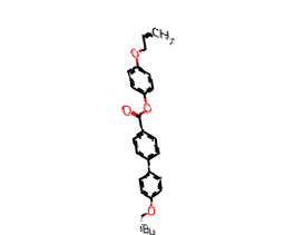 C=CCOc1ccc(OC(=O)c2ccc(-c3ccc(OC[C@@H](C)CC)cc3)cc2)cc1